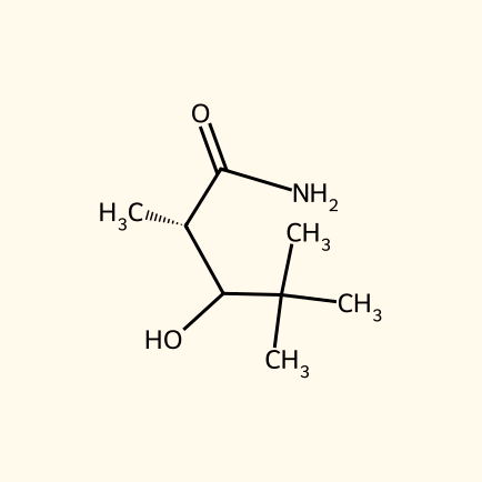 C[C@H](C(N)=O)C(O)C(C)(C)C